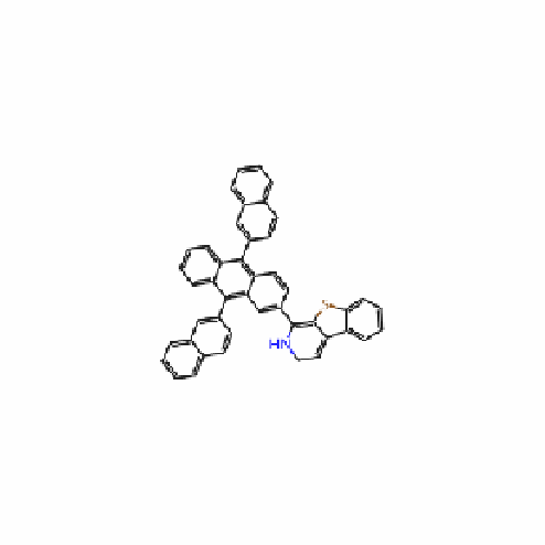 C1=c2c(sc3ccccc23)=C(c2ccc3c(-c4ccc5ccccc5c4)c4ccccc4c(-c4ccc5ccccc5c4)c3c2)NC1